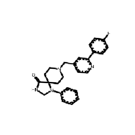 O=C1NCN(c2ccccc2)C12CCN(Cc1ccnc(-c3ccc(F)cc3)c1)CC2